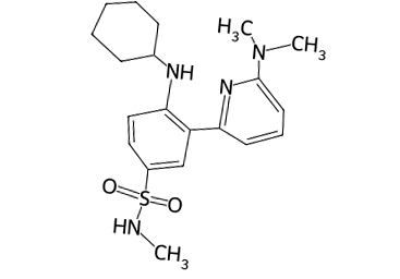 CNS(=O)(=O)c1ccc(NC2CCCCC2)c(-c2cccc(N(C)C)n2)c1